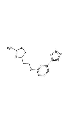 NC1=NC(CCOc2cccc(-n3cnnn3)c2)CO1